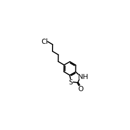 O=c1[nH]c2ccc(CCCCCl)cc2s1